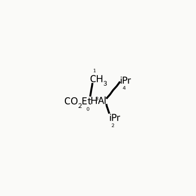 CCOC(C)=O.C[CH](C)[AlH][CH](C)C